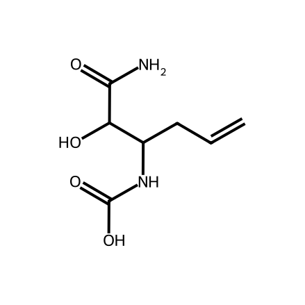 C=CCC(NC(=O)O)C(O)C(N)=O